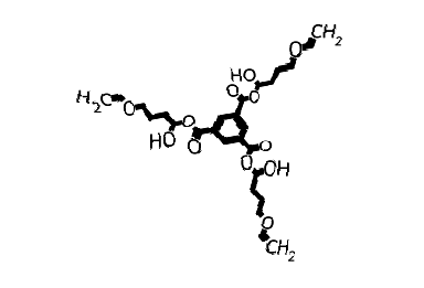 C=COCCCC(O)OC(=O)c1cc(C(=O)OC(O)CCCOC=C)cc(C(=O)OC(O)CCCOC=C)c1